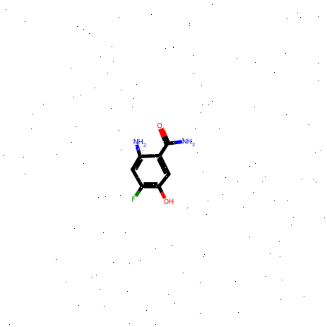 NC(=O)c1cc(O)c(F)cc1N